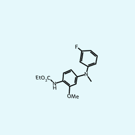 CCOC(=O)Nc1ccc(N(C)c2cccc(F)c2)cc1OC